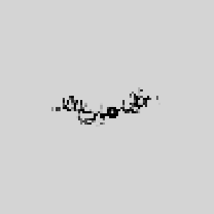 CNC(=O)[C@H](CC(=O)O)NC(=O)CC[C@H](NC(=O)c1ccc(NCc2cnc3nc(N)[nH]c(=O)c3n2)cc1)C(=O)O